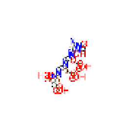 COc1cccc2c1nc1c(C#N)c(C)c(N=Nc3cc(C)c(N=Nc4cc(C)c(N=Nc5nc6c(S(=O)(=O)O)cc7ccc(S(=O)(=O)O)cc7c6s5)cc4SCCCS(=O)(=O)O)cc3OCCCS(=O)(=O)O)c(O)n12